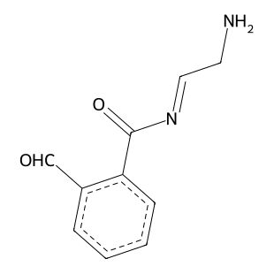 NCC=NC(=O)c1ccccc1C=O